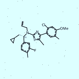 C=CCN(c1nc(-c2cc(C)c(OC)cc2Cl)c(C)s1)[C@@H](CC1CC1)c1ccc(C)c(F)c1